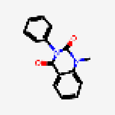 Cn1c(=O)n(-c2ccccc2)c(=O)c2ccccc21